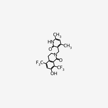 Cc1cc(C)c(CN2CCc3c(C(F)(F)F)cc(O)c(C(F)(F)F)c3C2=O)c(=O)[nH]1